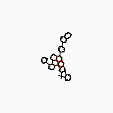 CC1(C)c2ccccc2-c2ccc(N(c3ccc(-c4ccc(-c5ccc6ccccc6c5)cc4)cc3)c3cccc(-c4ccccc4)c3-c3ccccc3-c3ccccc3)cc21